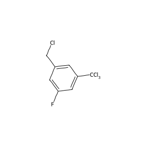 Fc1cc(CCl)cc(C(Cl)(Cl)Cl)c1